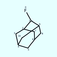 F[C]1[C]2CC3CC(C2)CC1C3